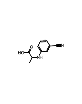 CC(Nc1cccc(C#N)c1)C(=O)O